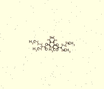 CCCCC(CC)C(=O)Oc1cc(C)c(OC(=O)C(CC)CCCC)c2ccccc12